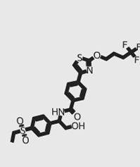 CCS(=O)(=O)c1ccc(C(CO)NC(=O)c2ccc(-c3csc(OCCCC(F)(F)F)n3)cc2)cc1